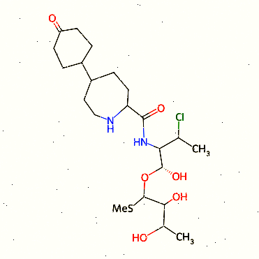 CSC(O[C@@H](O)C(NC(=O)C1CCC(C2CCC(=O)CC2)CCN1)C(C)Cl)C(O)C(C)O